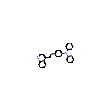 C(=C\c1ccnc2ccccc12)/c1ccc(N(c2ccccc2)c2ccccc2)cc1